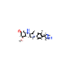 C=C1C(Nc2cc(OC)cc(OC)c2)CCN1c1ccc(-c2cn[nH]c2)c(C)c1